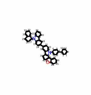 c1ccc(-c2ccc(-n3c4ccc(-c5ccc6c(c5)c5ccccc5n6-c5cccc6ccccc56)cc4c4ccc5oc6ccccc6c5c43)cc2)cc1